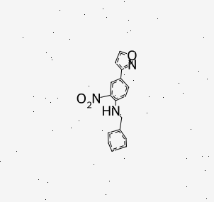 O=[N+]([O-])c1cc(-c2ccon2)ccc1NCc1ccccc1